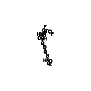 CCC(CC)(NC(=O)c1ccc(C2CC2)c(Cc2ccc(F)cc2)n1)C(=O)NCCOCCOCCOCCOCCNC(=O)OC(C)(C)C